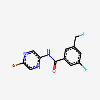 O=C(Nc1cnc(Br)cn1)c1cc(F)cc(CF)c1